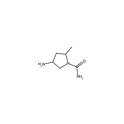 CC1CC(N)CN1C(N)=O